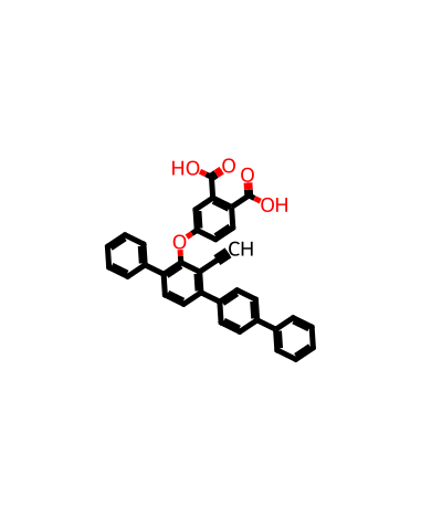 C#Cc1c(-c2ccc(-c3ccccc3)cc2)ccc(-c2ccccc2)c1Oc1ccc(C(=O)O)c(C(=O)O)c1